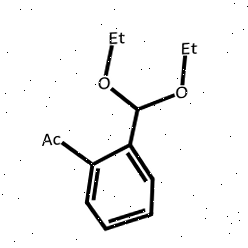 CCOC(OCC)c1ccccc1C(C)=O